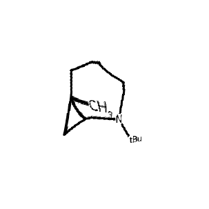 CC12CCCN(C(C)(C)C)C1C2